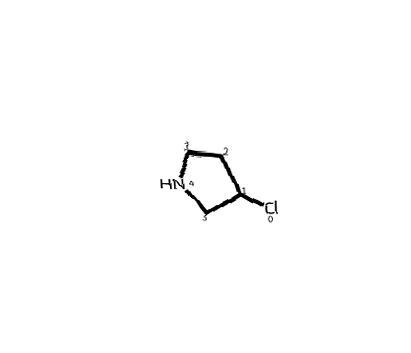 ClC1CCNC1